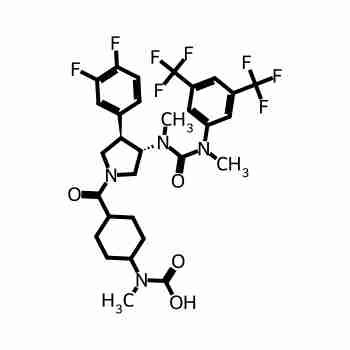 CN(C(=O)N(C)[C@@H]1CN(C(=O)C2CCC(N(C)C(=O)O)CC2)C[C@H]1c1ccc(F)c(F)c1)c1cc(C(F)(F)F)cc(C(F)(F)F)c1